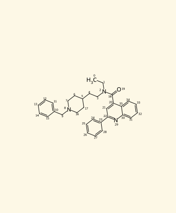 CCN(CCC1CCN(Cc2ccccc2)CC1)C(=O)c1cc(-c2ccccc2)nc2ccccc12